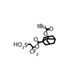 CC(C)(C)C(=O)OC12CC3CC(C1)CC(C(=O)OC(CS(=O)(=O)O)C(F)(F)F)(C3)C2